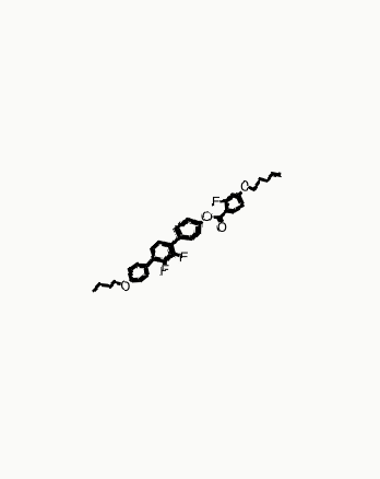 C=CCCCOc1ccc(C(=O)Oc2ccc(-c3ccc(-c4ccc(OCCCC)cc4)c(F)c3F)cc2)c(F)c1